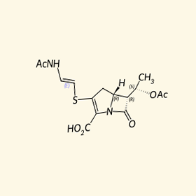 CC(=O)N/C=C/SC1=C(C(=O)O)N2C(=O)[C@@H]([C@H](C)OC(C)=O)[C@H]2C1